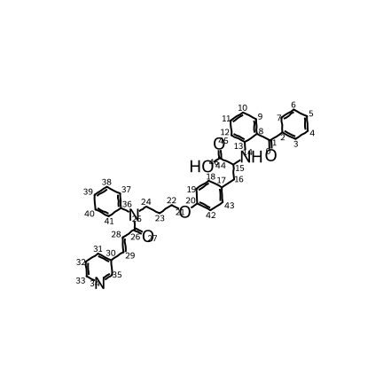 O=C(c1ccccc1)c1ccccc1NC(Cc1ccc(OCCCN(C(=O)C=Cc2cccnc2)c2ccccc2)cc1)C(=O)O